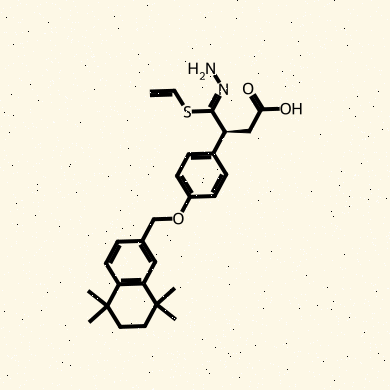 C=CS/C(=N\N)[C@@H](CC(=O)O)c1ccc(OCc2ccc3c(c2)C(C)(C)CCC3(C)C)cc1